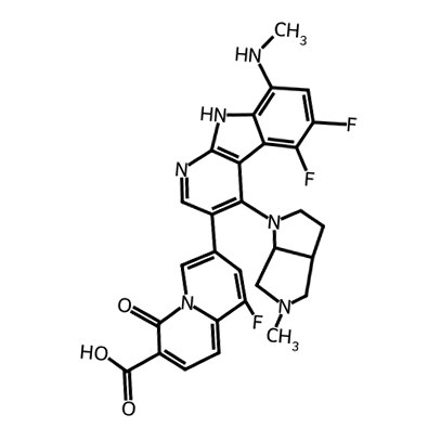 CNc1cc(F)c(F)c2c1[nH]c1ncc(-c3cc(F)c4ccc(C(=O)O)c(=O)n4c3)c(N3CCC4CN(C)CC43)c12